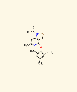 CCC(CC)N1CSCc2c1cc(C)nc2Oc1c(C)cc(C)cc1C